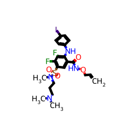 C=CCONC(=O)c1cc(S(=O)(=O)N(C)CCCN(C)C)c(F)c(F)c1Nc1ccc(I)cc1